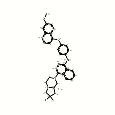 COc1cnc2c(Oc3ccc(Nc4nnc(N5CCN6CC(F)(F)C[C@@H]6C5)c5ccccc45)cc3)ccnc2c1